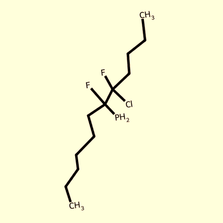 CCCCCCC(F)(P)C(F)(Cl)CCCC